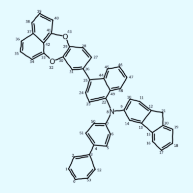 c1ccc(-c2ccc(N(c3ccc4c(c3)-c3ccccc3C4)c3ccc(-c4ccc5c(c4)Oc4cccc6cccc(c46)O5)c4ccccc34)cc2)cc1